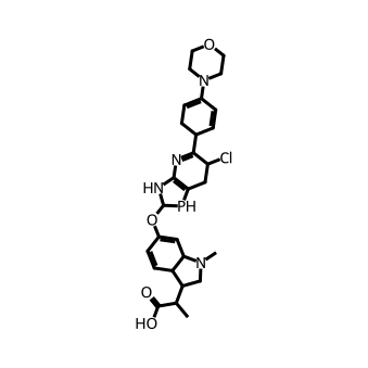 CC(C(=O)O)C1CN(C)C2C=C(OC3NC4=C(CC(Cl)C(C5C=CC(N6CCOCC6)=CC5)=N4)P3)C=CC12